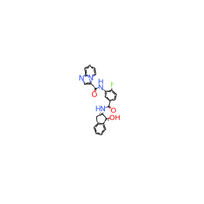 O=C(N[C@H]1Cc2ccccc2[C@@H]1O)c1ccc(F)c(NC(=O)c2cnc3ccccn23)c1